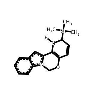 [CH3][Sn]([CH3])([CH3])[CH]1C=CC2=C(c3cc4ccccc4n3CO2)N1F